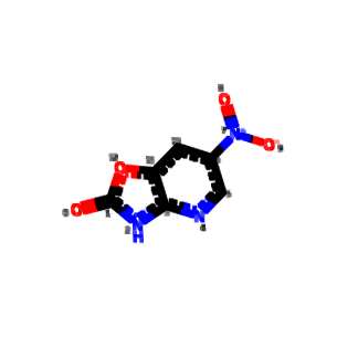 O=c1[nH]c2ncc([N+](=O)[O-])cc2o1